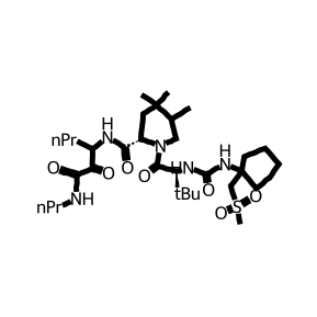 CCCNC(=O)C(=O)C(CCC)NC(=O)[C@@H]1CC(C)(C)C(C)CN1C(=O)[C@@H](NC(=O)NC1(CS(C)(=O)=O)CCCCC1)C(C)(C)C